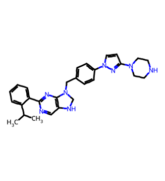 CC(C)c1ccccc1-c1ncc2c(n1)N(Cc1ccc(-n3ccc(N4CCNCC4)n3)cc1)CN2